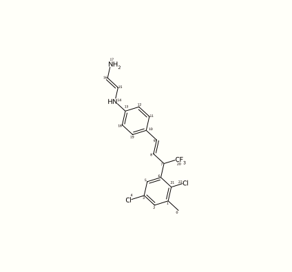 Cc1cc(Cl)cc(C(/C=C/c2ccc(N/C=C/N)cc2)C(F)(F)F)c1Cl